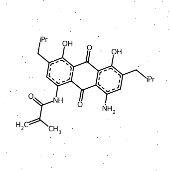 C=C(C)C(=O)Nc1cc(CC(C)C)c(O)c2c1C(=O)c1c(N)cc(CC(C)C)c(O)c1C2=O